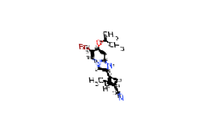 CC(C)Oc1cc2nc(C34CC(C#N)(C3)[C@@H]4C)cn2cc1Br